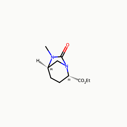 CCOC(=O)[C@@H]1CC[C@@H]2CN1C(=O)N2C